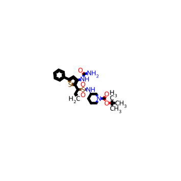 C=CC(c1sc(-c2ccccc2)cc1NC(N)=O)S(=O)(=O)N[C@H]1CCCN(C(=O)OC(C)(C)C)C1